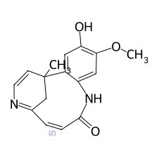 COc1cc2c(cc1O)C1(C)C=CN=C(/C=C\C(=O)N2)C1